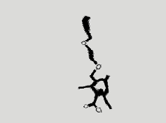 C=CCOCCOCc1c(C)cc(C)c(C(=O)Cl)c1C